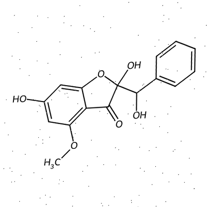 COc1cc(O)cc2c1C(=O)C(O)(C(O)c1ccccc1)O2